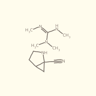 CN=C(NC)N(C)C.N#CC12CC1CCN2